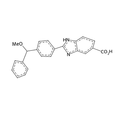 COC(c1ccccc1)c1ccc(-c2nc3cc(C(=O)O)ccc3[nH]2)cc1